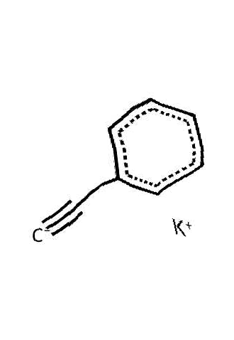 [C-]#Cc1ccccc1.[K+]